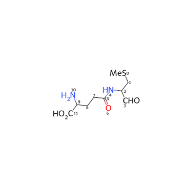 CSCC(C=O)NC(=O)CCC(N)C(=O)O